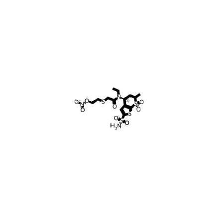 CCN(C(=O)CSCCO[N+](=O)[O-])[C@H]1CC(C)S(=O)(=O)c2sc(S(N)(=O)=O)cc21